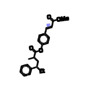 CCC(CC(C)C(=O)Oc1ccc(/C=C/C(=O)OC)cc1)c1ccccc1